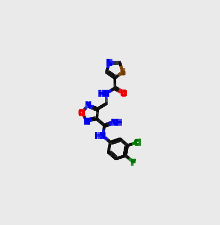 N=C(Nc1ccc(F)c(Cl)c1)c1nonc1CNC(=O)c1cncs1